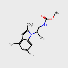 CCOC(=O)c1cc2c(C)cc(C)cc2n1[C@H](C)CNC(=O)OC(C)(C)C